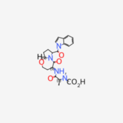 C[C@@H](C(=O)N[C@H]1CCO[C@H]2CCC(C(=O)n3ccc4ccccc43)N2C1=O)N(C)C(=O)O